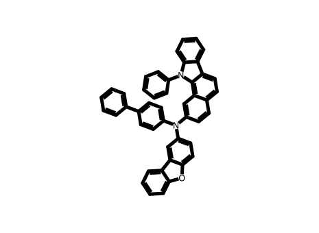 c1ccc(-c2ccc(N(c3ccc4oc5ccccc5c4c3)c3ccc4ccc5c6ccccc6n(-c6ccccc6)c5c4c3)cc2)cc1